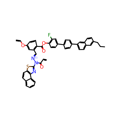 C=COc1ccc(C(=O)Oc2ccc(-c3ccc(-c4ccc5cc(CCC)ccc5c4)cc3)cc2F)c(/C=N/N(C(=O)C=C)c2nc3c(ccc4ccccc43)s2)c1